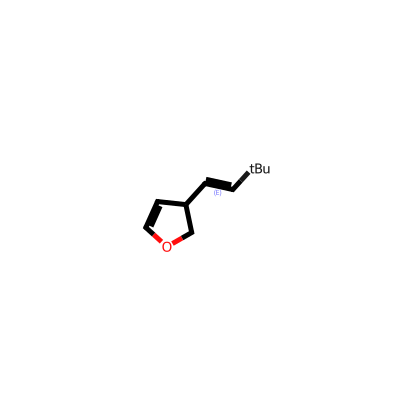 CC(C)(C)/C=C/C1C=COC1